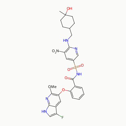 COc1nc2[nH]cc(F)c2cc1Oc1ccccc1C(=O)NS(=O)(=O)c1cnc(NCC2CCC(C)(O)CC2)c([N+](=O)[O-])c1